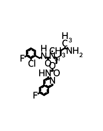 CC(N)CC[C@@H](COC(=O)Nc1cc2cc(F)ccc2cn1)N(C)C(=O)NCc1cccc(F)c1Cl